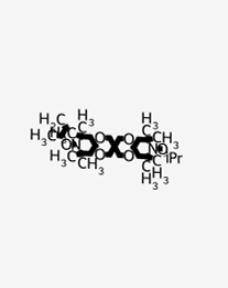 C=CC(C)ON1C(C)(C)CC2(CC1(C)C)OCC1(COC3(CC(C)(C)N(OC(C)C)C(C)(C)C3)OC1)CO2